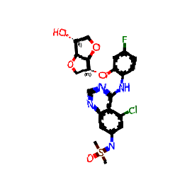 CS(C)(=O)=Nc1cc(Cl)c2c(Nc3ccc(F)cc3O[C@@H]3COC4C3OC[C@H]4O)ncnc2c1